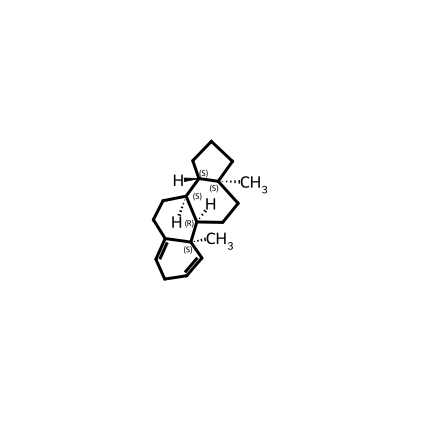 C[C@@]12CCC[C@H]1[C@@H]1CCC3=CCC=C[C@]3(C)[C@@H]1CC2